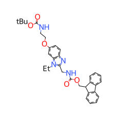 CCn1c(CNC(=O)OCC2c3ccccc3-c3ccccc32)nc2ccc(OCCNC(=O)OC(C)(C)C)cc21